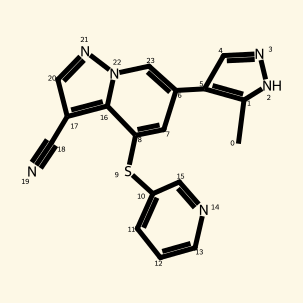 Cc1[nH]ncc1-c1cc(Sc2cccnc2)c2c(C#N)cnn2c1